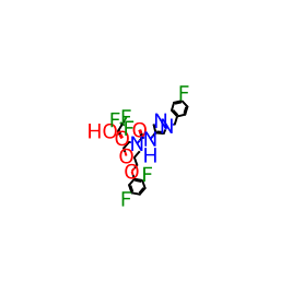 O=C(Nc1cnn(Cc2ccc(F)cc2)c1)N1CCOC(COc2cc(F)ccc2F)C1.O=C(O)C(F)(F)F